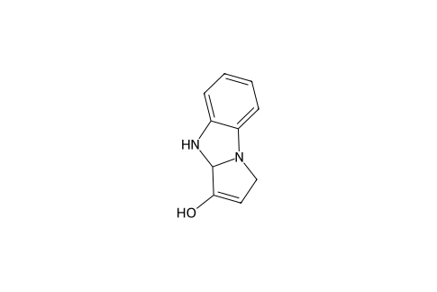 OC1=CCN2c3ccccc3NC12